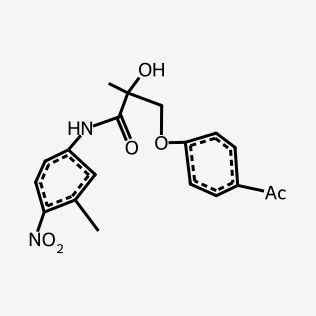 CC(=O)c1ccc(OCC(C)(O)C(=O)Nc2ccc([N+](=O)[O-])c(C)c2)cc1